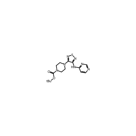 CC(C)(C)OC(=O)N1CCN(c2nsnc2Nc2ccncn2)CC1